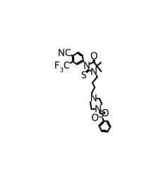 CC1(C)C(=O)N(c2ccc(C#N)c(C(F)(F)F)c2)C(=S)N1CCCCN1CCN(S(=O)(=O)c2ccccc2)CC1